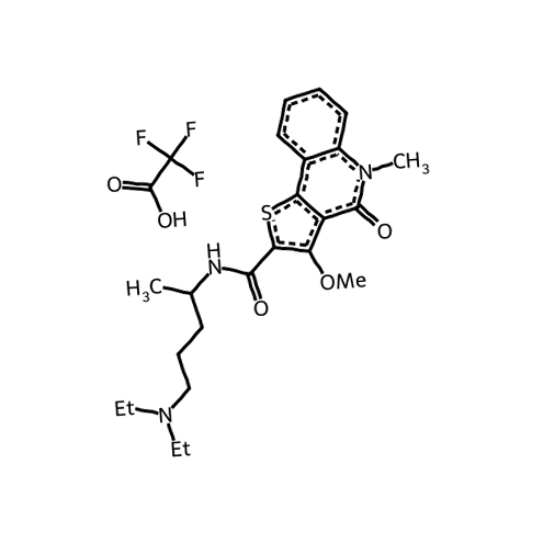 CCN(CC)CCCC(C)NC(=O)c1sc2c(c1OC)c(=O)n(C)c1ccccc21.O=C(O)C(F)(F)F